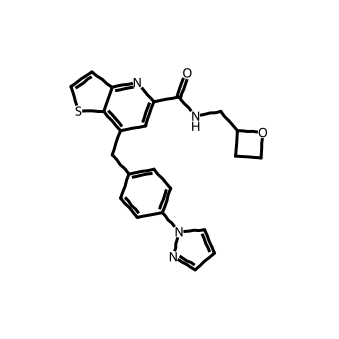 O=C(NCC1CCO1)c1cc(Cc2ccc(-n3cccn3)cc2)c2sccc2n1